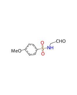 COc1ccc(S(=O)(=O)NCC=O)cc1